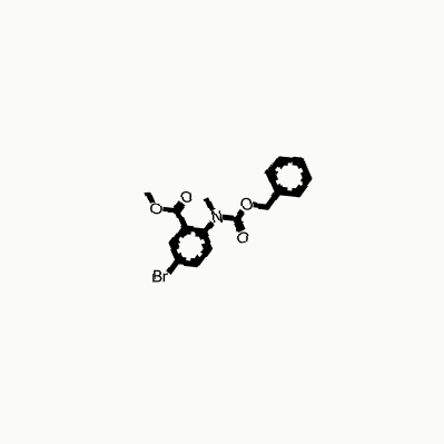 COC(=O)c1cc(Br)ccc1N(C)C(=O)OCc1ccccc1